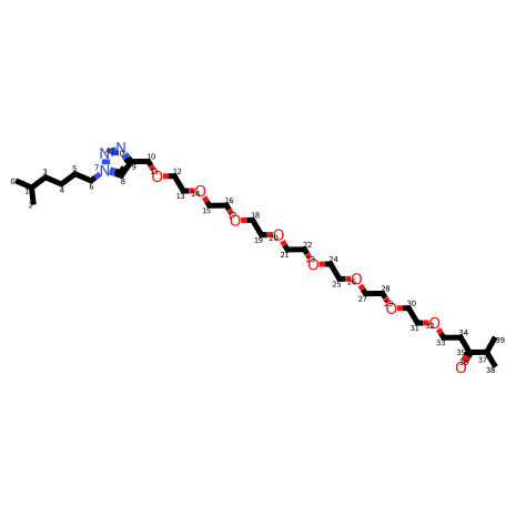 CC(C)CCCCn1cc(COCCOCCOCCOCCOCCOCCOCCOCCC(=O)C(C)C)nn1